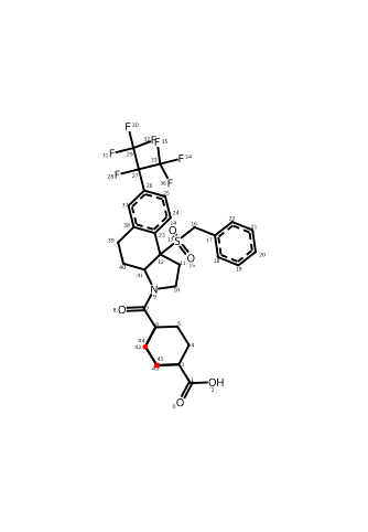 O=C(O)C12CCC(C(=O)N3CCC4(S(=O)(=O)Cc5ccccc5)c5ccc(C(F)(C(F)(F)F)C(F)(F)F)cc5CCC34)(CC1)CC2